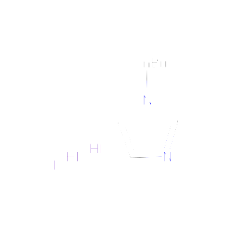 CCCCn1cc[n+](C)c1.I.I.[I-]